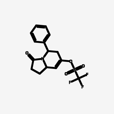 O=C1CCC2C=C(OS(=O)(=O)C(F)(F)F)CC(c3ccccc3)N12